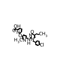 CCCc1cn(Cc2ccc(Cl)cc2)c(Nc2ccc(Oc3cccc(C(=O)O)n3)c(C)n2)nc1=O